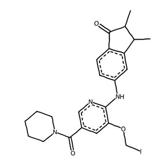 CC1C(=O)c2ccc(Nc3ncc(C(=O)N4CCCCC4)cc3OCI)cc2C1C